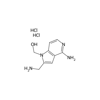 Cl.Cl.NCc1cc2c(N)nccc2n1CO